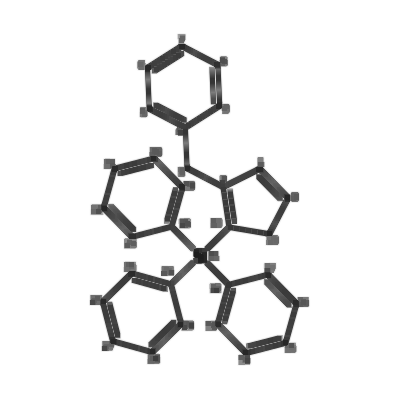 C1=CC(Cc2ccccc2)=C([Si](c2ccccc2)(c2ccccc2)c2ccccc2)C1